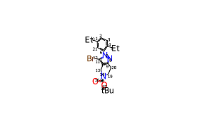 CCc1ccc(CC)c(-n2nc3c(c2Br)CN(C(=O)OC(C)(C)C)CC3)c1